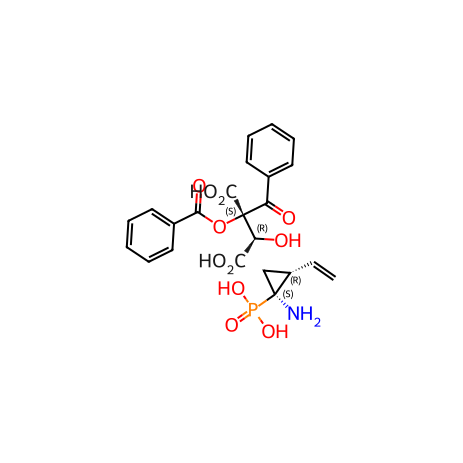 C=C[C@H]1C[C@]1(N)P(=O)(O)O.O=C(O[C@](C(=O)O)(C(=O)c1ccccc1)[C@@H](O)C(=O)O)c1ccccc1